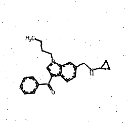 CCCCn1cc(C(=O)c2ccccc2)c2ccc(CNC3CC3)cc21